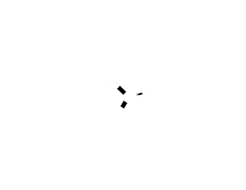 O=[SH](=S)I